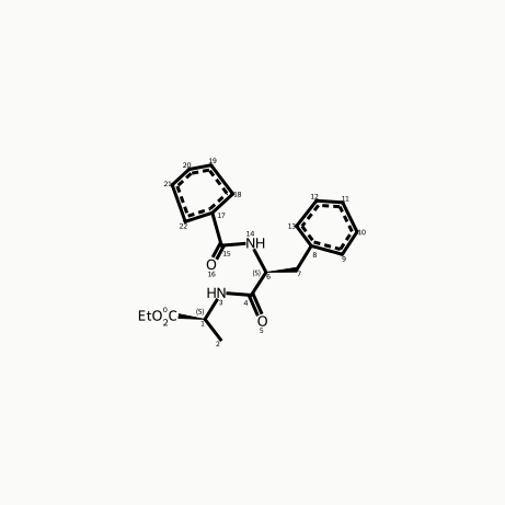 CCOC(=O)[C@H](C)NC(=O)[C@H](Cc1ccccc1)NC(=O)c1ccccc1